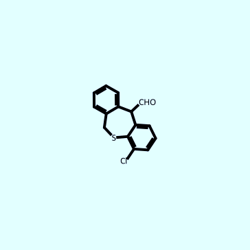 O=CC1c2ccccc2CSc2c(Cl)cccc21